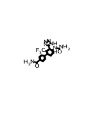 NC(=O)Nc1ccc(-c2ccc(C(N)=O)cc2)c(C(F)(F)F)c1-c1nnn[nH]1